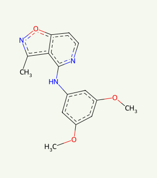 COc1cc(Nc2nccc3onc(C)c23)cc(OC)c1